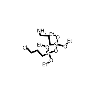 CCO[Si](CCCN)(OCC)O[Si](CCCCl)(OCC)OCC